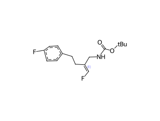 CC(C)(C)OC(=O)NC/C(=C/F)CCc1ccc(F)cc1